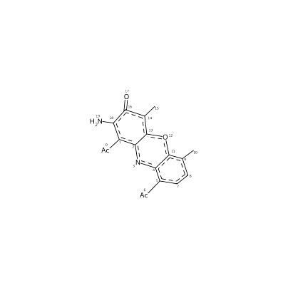 CC(=O)c1c2nc3c(C(C)=O)ccc(C)c3oc-2c(C)c(=O)c1N